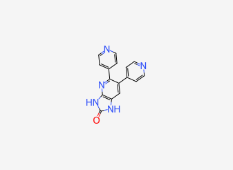 O=c1[nH]c2cc(-c3ccncc3)c(-c3ccncc3)nc2[nH]1